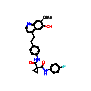 COc1cc2nccc(CCc3ccc(NC(=O)C4(C(=O)Nc5ccc(F)cc5)CC4)cc3)c2cc1O